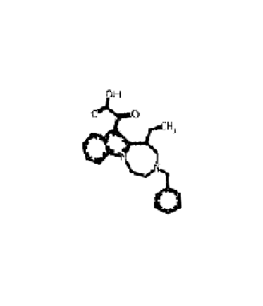 CCC1CN(Cc2ccccc2)CCn2c1c(C(=O)C(=O)O)c1ccccc12